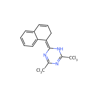 ClC(Cl)(Cl)C1=NC(=C2CC=Cc3ccccc32)NC(C(Cl)(Cl)Cl)=N1